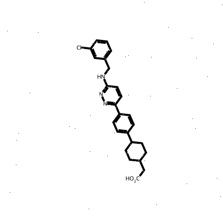 O=C(O)CC1CCC(c2ccc(-c3ccc(NCc4cccc(Cl)c4)nn3)cc2)CC1